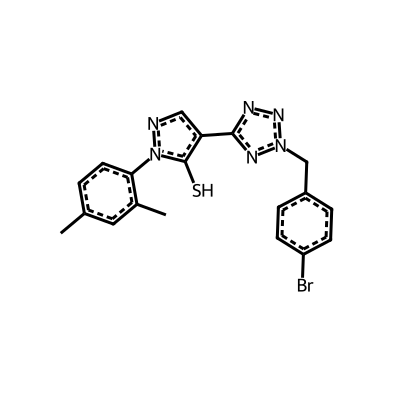 Cc1ccc(-n2ncc(-c3nnn(Cc4ccc(Br)cc4)n3)c2S)c(C)c1